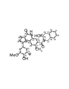 COc1cc(-c2nnc3c(=O)[nH]c4cc(C(=O)N5Cc6ccccc6C[C@@H]5O)c(C)cc4n23)cc(F)c1O